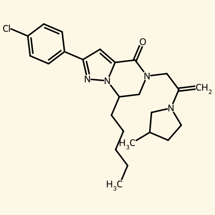 C=C(CN1CC(CCCCC)n2nc(-c3ccc(Cl)cc3)cc2C1=O)N1CCC(C)C1